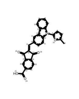 Cc1ccc(-n2c3ccccc3c3cc(/C=C4\C(=O)c5ccc(C(=O)O)cc5C4=O)ccc32)o1